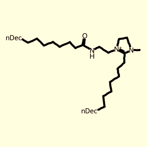 CCCCCCCCCCCCCCCCCC(=O)NCC[N+]1=C(CCCCCCCCCCCCCCCCC)N(C)CC1